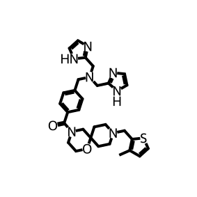 Cc1ccsc1CN1CCC2(CC1)CN(C(=O)c1ccc(CN(Cc3ncc[nH]3)Cc3ncc[nH]3)cc1)CCO2